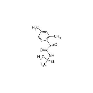 CCC(C)(C)NC(=O)C(=O)c1ccc(C)cc1C